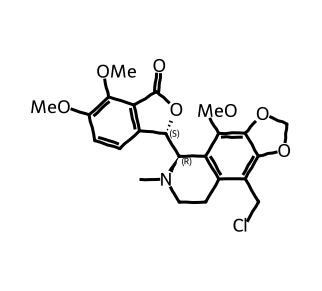 COc1ccc2c(c1OC)C(=O)O[C@@H]2[C@H]1c2c(c(CCl)c3c(c2OC)OCO3)CCN1C